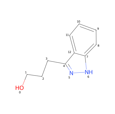 OCCCc1n[nH]c2ccccc12